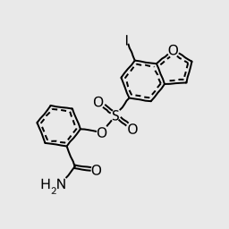 NC(=O)c1ccccc1OS(=O)(=O)c1cc(I)c2occc2c1